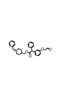 O=CCOc1cccc(C(C(=O)OCC2CCN(Cc3ccccc3)CC2)c2ccccc2)c1